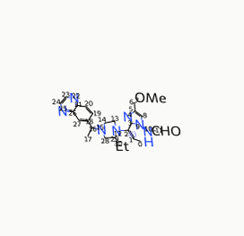 C/C=C(\c1nc(COC)cn1NC=O)N1CCN(C(C)c2ccc3nccnc3c2)CC1CC